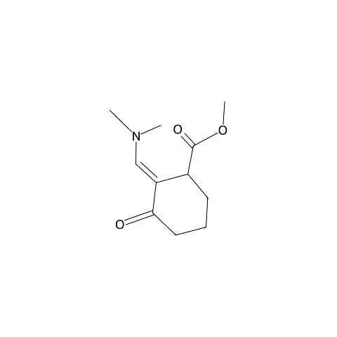 COC(=O)C1CCCC(=O)/C1=C/N(C)C